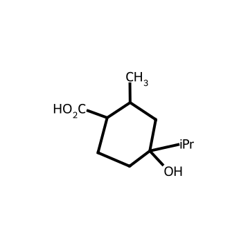 CC1CC(O)(C(C)C)CCC1C(=O)O